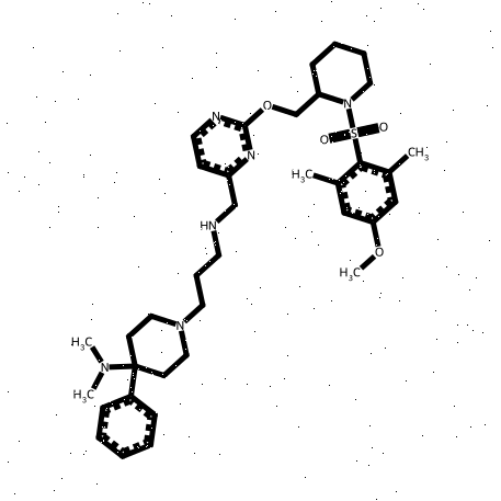 COc1cc(C)c(S(=O)(=O)N2CCCCC2COc2nccc(CNCCCN3CCC(c4ccccc4)(N(C)C)CC3)n2)c(C)c1